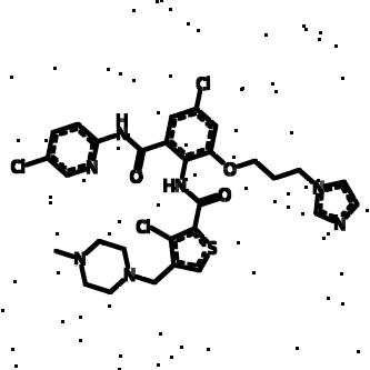 CN1CCN(Cc2csc(C(=O)Nc3c(OCCCn4ccnc4)cc(Cl)cc3C(=O)Nc3ccc(Cl)cn3)c2Cl)CC1